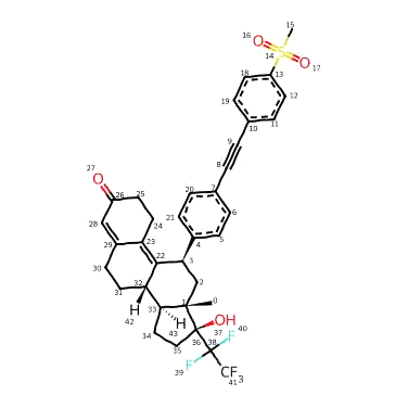 C[C@]12C[C@H](c3ccc(C#Cc4ccc(S(C)(=O)=O)cc4)cc3)C3=C4CCC(=O)C=C4CC[C@H]3[C@@H]1CC[C@@]2(O)C(F)(F)C(F)(F)F